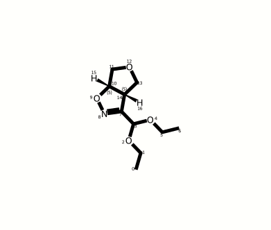 CCOC(OCC)C1=NO[C@@H]2COC[C@H]12